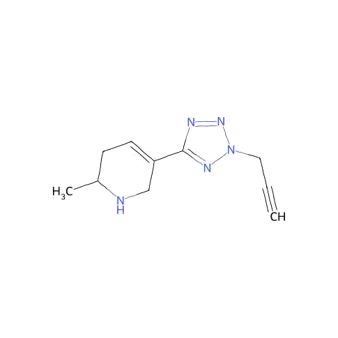 C#CCn1nnc(C2=CCC(C)NC2)n1